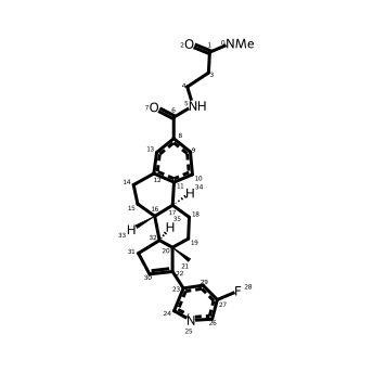 CNC(=O)CCNC(=O)c1ccc2c(c1)CC[C@@H]1[C@@H]2CC[C@]2(C)C(c3cncc(F)c3)=CC[C@@H]12